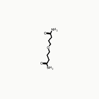 NC(=O)CCCOCCCC(N)=O